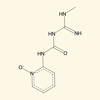 CNC(=N)NC(=O)Nc1cccc[n+]1[O-]